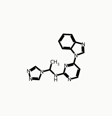 CC(Nc1nccc(-n2cnc3ccccc32)n1)n1cnnc1